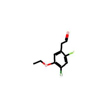 CCOc1cc(CC=O)c(F)cc1Cl